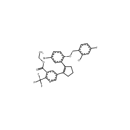 CCOC(=O)c1cc(C2=C(c3cc(Br)ccc3OCc3ccc(F)cc3Cl)CCC2)cnc1C(F)(F)F